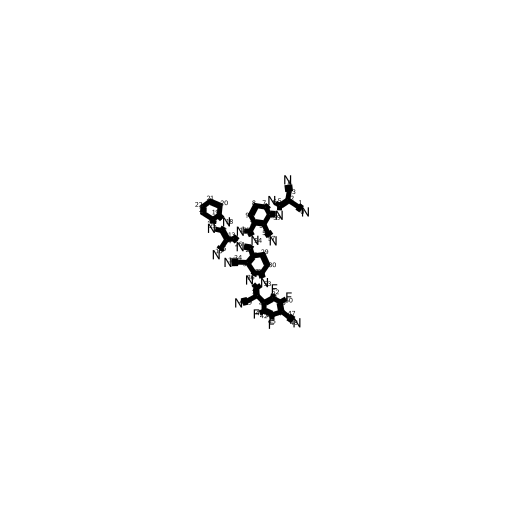 N#CC(C#N)=C1N=c2ccc(-c3nc(C(C#N)=C4N=c5ccccc5=N4)nc(-c4ccc5c(c4C#N)=N/C(=C(\C#N)c4c(F)c(F)c(C#N)c(F)c4F)N=5)n3)c(C#N)c2=N1